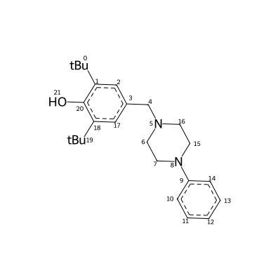 CC(C)(C)c1cc(CN2CCN(c3ccccc3)CC2)cc(C(C)(C)C)c1O